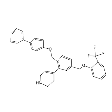 FC(F)(F)c1ccccc1OCc1ccc(COc2ccc(-c3ccccc3)cc2)c(C2=CCNCC2)c1